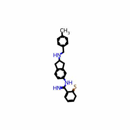 Cc1ccc(CNC2Cc3ccc(NC(=N)C4=CC=CCC4=S)cc3C2)cc1